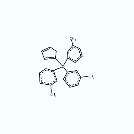 Cc1ccc[c]([Zr]([C]2=CC=CC2)([c]2cccc(C)c2)[c]2cccc(C)c2)c1